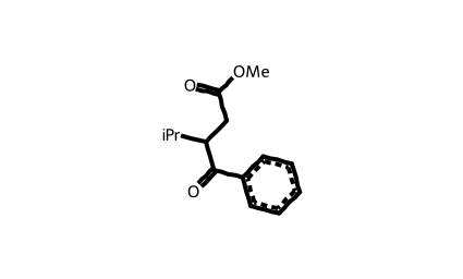 COC(=O)CC(C(=O)c1ccccc1)C(C)C